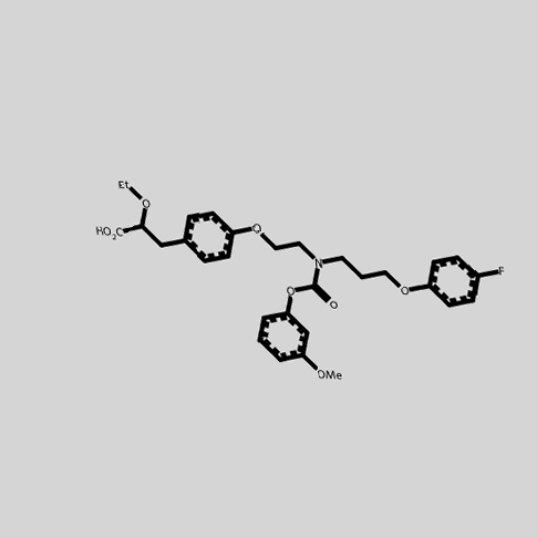 CCOC(Cc1ccc(OCCN(CCCOc2ccc(F)cc2)C(=O)Oc2cccc(OC)c2)cc1)C(=O)O